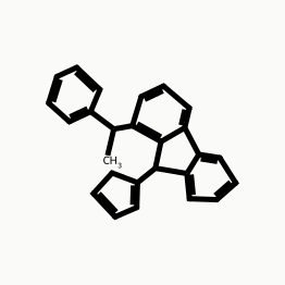 CC(c1ccccc1)c1cccc2c1C(C1=CC=CC1)c1ccccc1-2